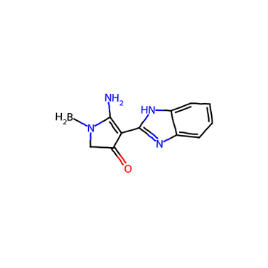 BN1CC(=O)C(c2nc3ccccc3[nH]2)=C1N